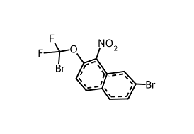 O=[N+]([O-])c1c(OC(F)(F)Br)ccc2ccc(Br)cc12